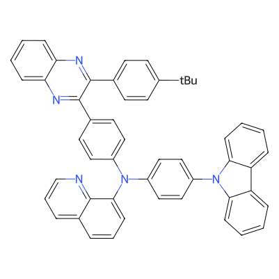 CC(C)(C)c1ccc(-c2nc3ccccc3nc2-c2ccc(N(c3ccc(-n4c5ccccc5c5ccccc54)cc3)c3cccc4cccnc34)cc2)cc1